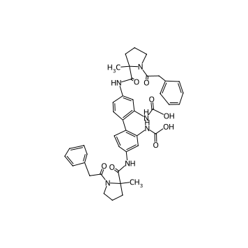 CC1(C(=O)Nc2ccc(-c3ccc(NC(=O)C4(C)CCCN4C(=O)Cc4ccccc4)cc3NC(=O)O)c(NC(=O)O)c2)CCCN1C(=O)Cc1ccccc1